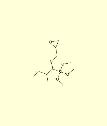 CCC(C)C(OCC1CO1)[Si](OC)(OC)OC